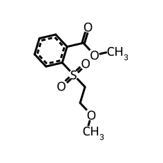 COCCS(=O)(=O)c1ccccc1C(=O)OC